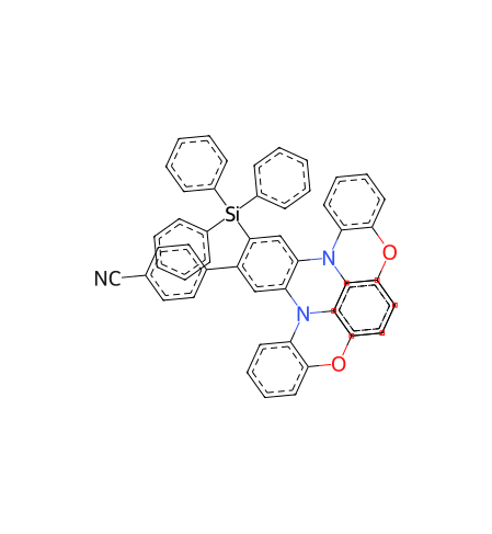 N#Cc1ccc(-c2cc(N3c4ccccc4Oc4ccccc43)c(N3c4ccccc4Oc4ccccc43)cc2[Si](c2ccccc2)(c2ccccc2)c2ccccc2)cc1